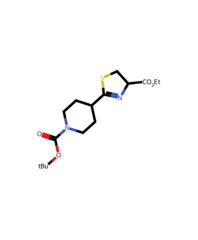 CCOC(=O)C1CSC(C2CCN(C(=O)OC(C)(C)C)CC2)=N1